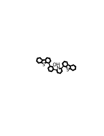 Oc1c(-c2cccc(-c3cccc4c3sc3ccccc34)n2)cccc1-c1cccc2c1sc1ccccc12